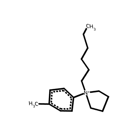 CCCCCC[N+]1(c2ccc(C)cc2)CCCC1